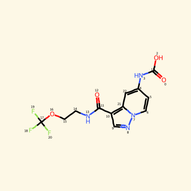 O=C(O)Nc1ccn2ncc(C(=O)NCCOC(F)(F)F)c2c1